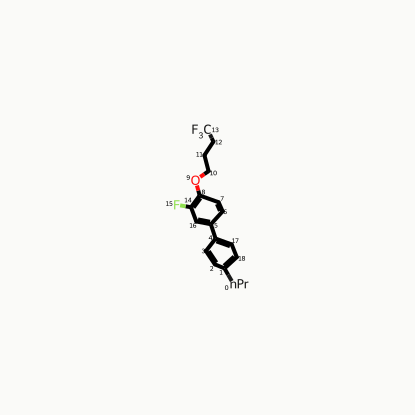 CCCc1ccc(-c2ccc(OCCCC(F)(F)F)c(F)c2)cc1